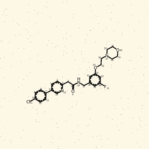 O=C(Cc1ccc(-c2ccc(Cl)cc2)cn1)NCc1cc(F)cc(OCCN2CCOCC2)c1